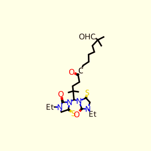 CCN1CC(=S)N(C(N2C(=O)N(CC)CC2=S)C(C)(C)CCC(=O)CCCCCCC(C)(C)C=O)C1=O